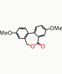 COc1ccc2c(c1)COC(=O)c1cc(OC)ccc1-2